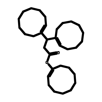 O=C(CC(C1=CCCCCCCCC1)C1=CCCCCCCCC1)OC1=CCCCCCCCC1